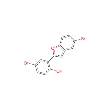 Oc1ccc(Br)cc1-c1cc2cc(Br)ccc2o1